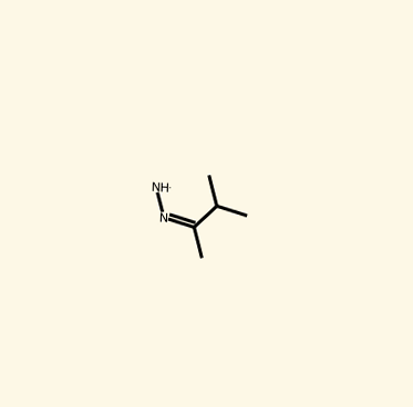 C/C(=N/[NH])C(C)C